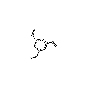 C=C[si]1c[si](C=C)c[si](C=C)c1